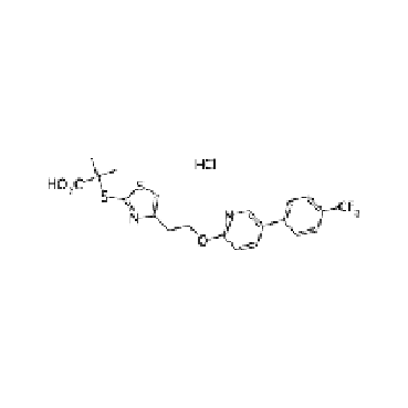 CC(C)(Sc1nc(CCOc2ccc(-c3ccc(C(F)(F)F)cc3)cn2)cs1)C(=O)O.Cl